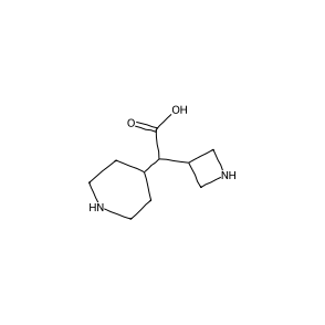 O=C(O)C(C1CCNCC1)C1CNC1